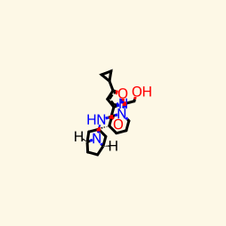 O=C(N[C@H]1C[C@H]2CC[C@@H](C1)N2C[C@H]1CCCN(CCO)C1)c1cc(C2CC2)on1